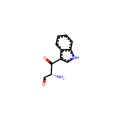 N[C@H]([C]=O)C(=O)c1c[nH]c2ccccc12